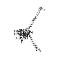 CCCCCCCCCCCCCCCCCCCCCC(=O)N[C@@H](COP(=O)(O)O[C@H]1C(O)C(O)C(O)[C@@H](O)C1O[C@H]1O[C@H](CO)[C@@H](O)C(O)C1O)[C@H](O)[C@H](O)CCCCCCCCCCCCCC